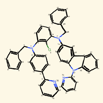 Clc1c(N(Cc2ccccc2)c2ccc(-c3ccccn3)cc2)cccc1N(Cc1ccccc1)c1ccc2c(c1)c1ccccc1n2-c1ccccn1